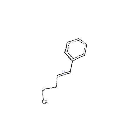 N#CSC/C=C/c1ccccc1